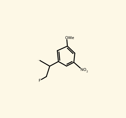 [CH2]C(CF)c1cc(OC)cc([N+](=O)[O-])c1